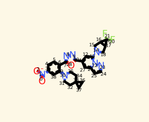 O=[N+]([O-])c1ccc(-c2nnc(-c3cc(N4CC5C(C4)C5(F)F)n4nccc4c3)o2)c(N2CCC3(CC2)CC3)c1